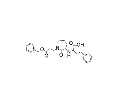 O=C(CCN1CCCCC(NC(CCc2ccccc2)C(=O)O)C1=O)OCc1ccccc1